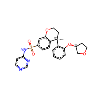 C[C@@]1(c2ccccc2O[C@H]2CCOC2)CCOc2cc(S(=O)(=O)Nc3ccncn3)ccc21